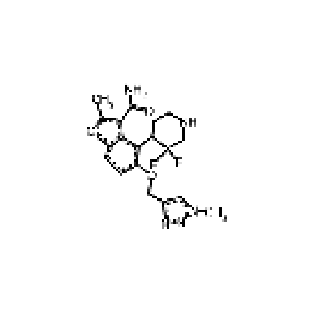 Cc1oc2ccc(OCc3cn(C)nn3)c(C3CCNCC3(F)F)c2c1C(N)=O